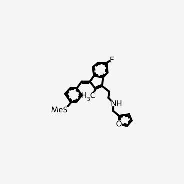 CSc1ccc(C=C2C(C)=C(CCNCc3ccco3)c3cc(F)ccc32)cc1